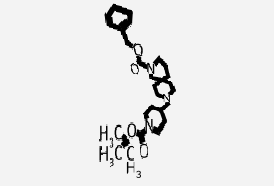 CC(C)(C)OC(=O)N1CCC(CN2CCC3(CCCN(C(=O)OCc4ccccc4)C3)CC2)CC1